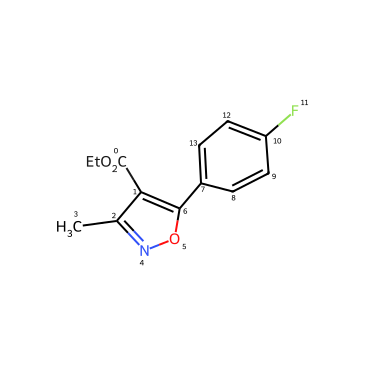 CCOC(=O)c1c(C)noc1-c1ccc(F)cc1